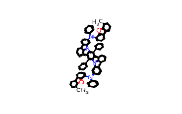 Cc1cccc2c1oc1c(N(c3ccccc3)c3ccc4c5cccc6c7c(-c8ccccc8)c8c(c(-c9ccccc9)c7n(c4c3)c56)c3cccc4c5ccc(N(c6ccccc6)c6cccc7c6oc6c(C)cccc67)cc5n8c43)cccc12